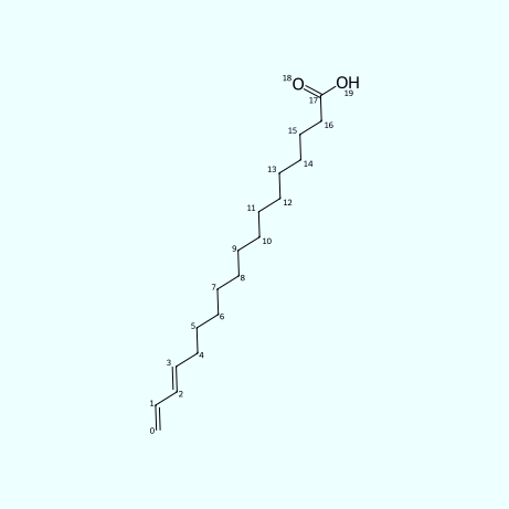 C=CC=CCCCCCCCCCCCCCC(=O)O